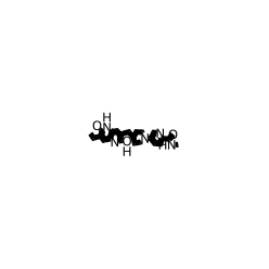 CCc1cc2ncc(CC3(O)CCN(c4ccc(C(=O)NC)nc4)CC3)cc2[nH]c1=O